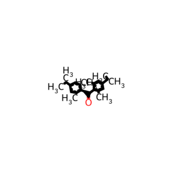 Cc1cc(C(C)C)cc(C)c1-c1c(-c2c(C)cc(C(C)C)cc2C)c1=O